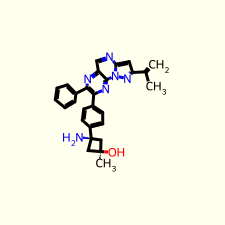 C=C(C)c1cc2ncc3nc(-c4ccccc4)c(-c4ccc([C@]5(N)C[C@@](C)(O)C5)cc4)nc3n2n1